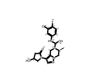 C[C@H]1Cn2ncc(N3CC(O)CC3=O)c2CN1C(O)Nc1ccc(F)c(Cl)c1